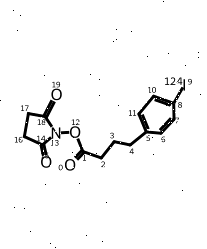 O=C(CCCc1ccc([124I])cc1)ON1C(=O)CCC1=O